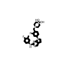 Cc1cc(Nc2ncc3ccn(-c4ccc(CN5CCS(O)(O)CC5)c(F)c4)c3n2)ccc1F